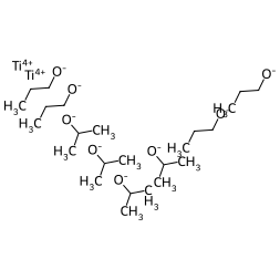 CC(C)[O-].CC(C)[O-].CC(C)[O-].CC(C)[O-].CCC[O-].CCC[O-].CCC[O-].CCC[O-].[Ti+4].[Ti+4]